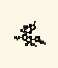 Cc1cc([C@@H](C)Oc2ccc(F)nc2C#N)c2oc(-c3cnn(C)c3)c(C)c(=O)c2c1